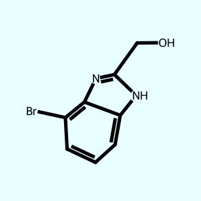 OCc1nc2c(Br)cccc2[nH]1